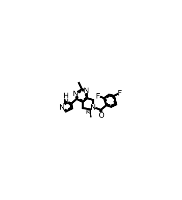 Cc1nc2c(c(-c3ccn[nH]3)n1)C[C@H](C)N(C(=O)c1ccc(F)cc1F)C2